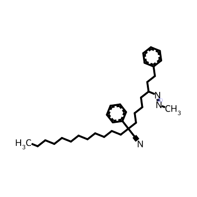 CCCCCCCCCCCCC(C#N)(CCCCC(CCc1ccccc1)/N=N/C)c1ccccc1